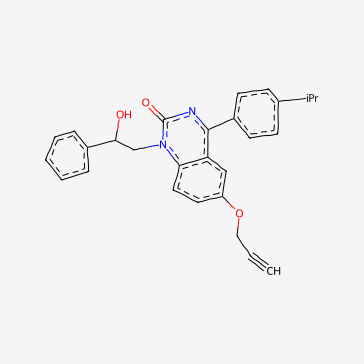 C#CCOc1ccc2c(c1)c(-c1ccc(C(C)C)cc1)nc(=O)n2CC(O)c1ccccc1